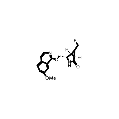 COc1ccc2ccnc(OC[C@H]3NC(=O)[C@@H]4C(CF)[C@@H]43)c2c1